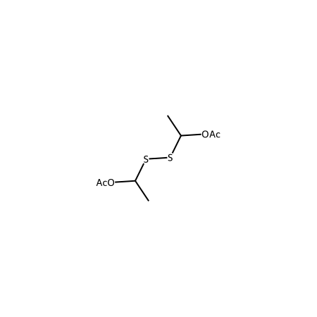 CC(=O)OC(C)SSC(C)OC(C)=O